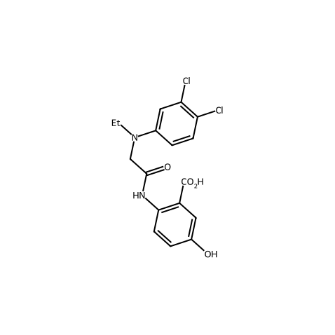 CCN(CC(=O)Nc1ccc(O)cc1C(=O)O)c1ccc(Cl)c(Cl)c1